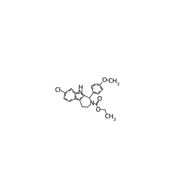 CCOC(=O)N1CCc2c([nH]c3cc(Cl)ccc23)C1c1ccc(OC)cc1